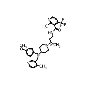 COc1ccc(N(Cc2cnccc2C)C2CCN([C@H](C)CCNC(=O)c3c(C(F)(F)F)ccnc3C)CC2)cc1